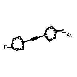 CC(=O)Sc1ccc(C#Cc2ccc(F)cc2)cc1